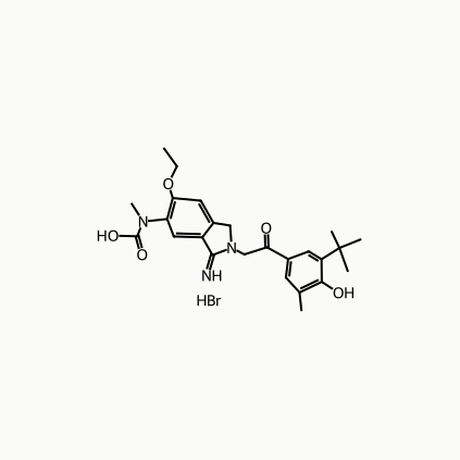 Br.CCOc1cc2c(cc1N(C)C(=O)O)C(=N)N(CC(=O)c1cc(C)c(O)c(C(C)(C)C)c1)C2